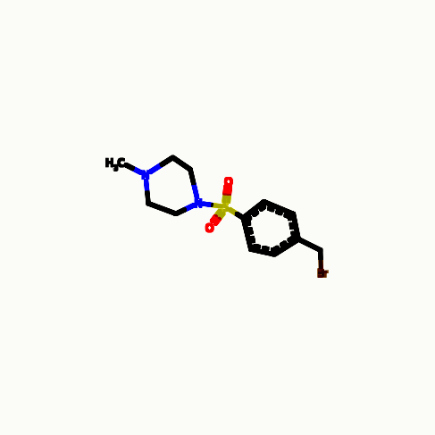 CN1CCN(S(=O)(=O)c2ccc(CBr)cc2)CC1